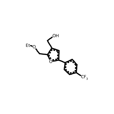 CCOCc1oc(-c2ccc(C(F)(F)F)cc2)cc1CO